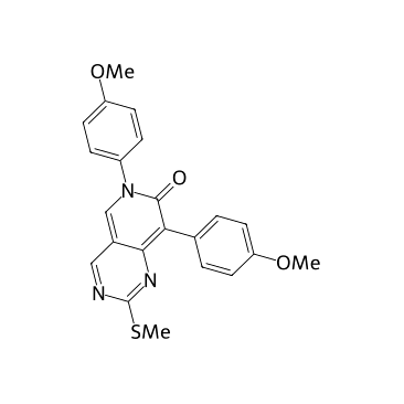 COc1ccc(-c2c(=O)n(-c3ccc(OC)cc3)cc3cnc(SC)nc23)cc1